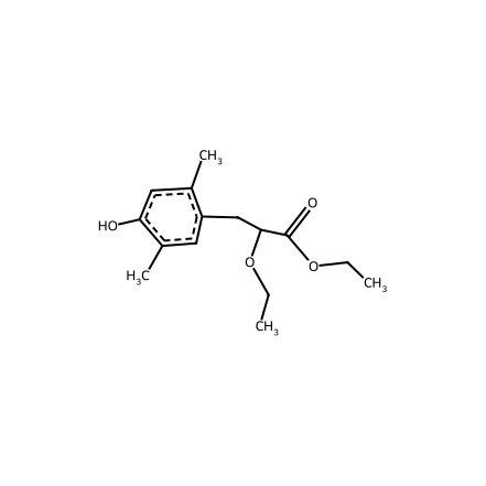 CCOC(=O)C(Cc1cc(C)c(O)cc1C)OCC